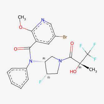 COc1ncc(Br)cc1C(=O)N(c1ccccc1)[C@@H]1CN(C(=O)[C@@](C)(O)C(F)(F)F)C[C@@H]1F